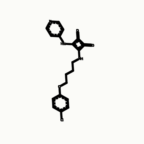 O=c1c(NCCCCOc2ccc(Cl)cc2)c(Nc2ccncc2)c1=O